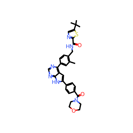 Cc1cc(-c2ncnc3[nH]c(-c4ccc(C(=O)N5CCOCC5)cc4)cc23)ccc1CNC(=O)c1ncc(C(C)(C)C)s1